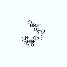 COC(CC(=O)C(C)CCN1CCCC1C(CC(=O)NNCc1ccccc1)SC)CN(C)C(=O)C(NC(=O)C(C(C)C)N(C)C)C(C)C